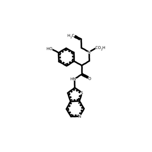 C=CCN(CC(C(=O)Nc1cc2ccncc2s1)c1ccc(O)cc1)C(=O)O